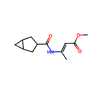 COC(=O)C=C(C)NC(=O)C1CC2CC2C1